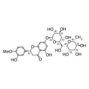 COc1ccc([C@@H]2CC(=O)c3c(O)cc(O[C@@H]4O[C@H](C(O)[C@@H]5O[C@H](C)[C@@H](O)[C@H](O)[C@@H]5O)[C@@H](O)[C@H](O)[C@H]4O)cc3O2)cc1O